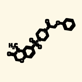 CN1C(=O)COc2ccc(S(=O)(=O)N3CCN(C(=O)COc4ccccc4)CC3)cc21